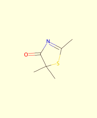 CC1=NC(=O)C(C)(C)S1